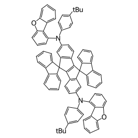 CC(C)(C)c1ccc(N(c2ccc3c(c2)C2(C4=C3C3(c5cc(N(c6ccc(C(C)(C)C)cc6)c6cccc7oc8ccccc8c67)ccc54)c4ccccc4-c4ccccc43)c3ccccc3-c3ccccc32)c2cccc3oc4ccccc4c23)cc1